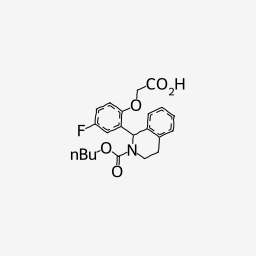 CCCCOC(=O)N1CCc2ccccc2C1c1cc(F)ccc1OCC(=O)O